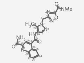 CNC(=O)c1nc(Cn2ncc(NC(=O)c3cc(C(N)=O)nc4ccccc34)c2C)no1